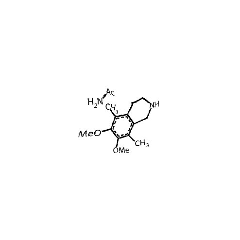 CC(N)=O.COc1c(C)c2c(c(C)c1OC)CNCC2